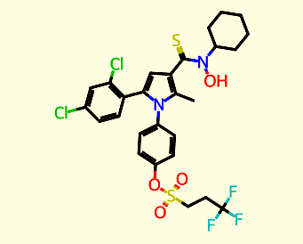 Cc1c(C(=S)N(O)C2CCCCC2)cc(-c2ccc(Cl)cc2Cl)n1-c1ccc(OS(=O)(=O)CCC(F)(F)F)cc1